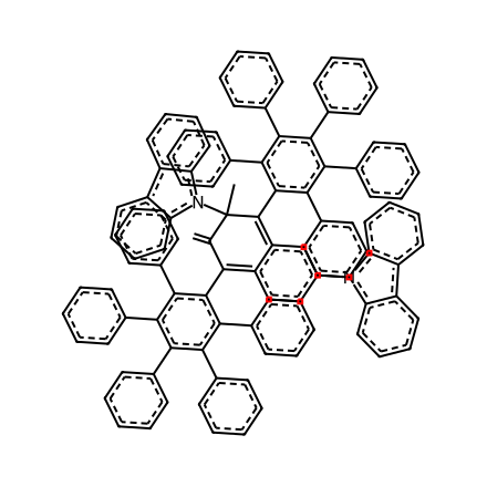 C=C1C(c2c(-c3ccccc3)c(-c3ccccc3)c(-c3ccccc3)c(-c3ccccc3)c2-c2ccccc2)=c2ccc(-n3c4ccccc4c4ccccc43)cc2=C(c2c(-c3ccccc3)c(-c3ccccc3)c(-c3ccccc3)c(-c3ccccc3)c2-c2ccccc2)C1(C)n1c2ccccc2c2ccccc21